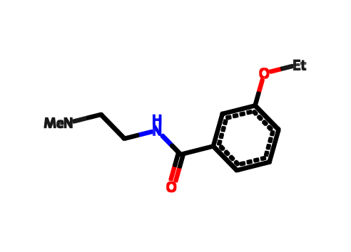 CCOc1cccc(C(=O)NCCNC)c1